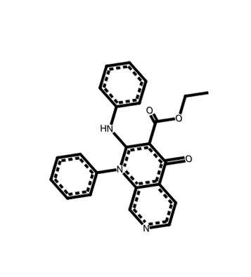 CCOC(=O)c1c(Nc2ccccc2)n(-c2ccccc2)c2cnccc2c1=O